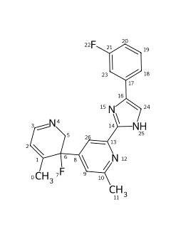 CC1=CC=NCC1(F)c1cc(C)nc(-c2nc(-c3cccc(F)c3)c[nH]2)c1